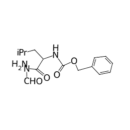 CC(C)CC(NC(=O)OCc1ccccc1)C(=O)N(N)C=O